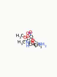 CCOC(=O)C1=C(C)NC(CC)=C(C(=O)OCC)C1c1cc([N+](=O)[O-])ccc1OCCCCN